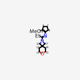 CC/C(=N\C1=C(OC)CCC1)N1CC2(CCOCC2)C1